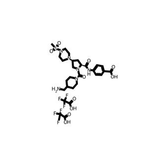 CS(=O)(=O)N1CCN([C@H]2C[C@@H](C(=O)Nc3ccc(C(=O)O)cc3)N(C(=O)N3CCC(CN)CC3)C2)CC1.O=C(O)C(F)(F)F.O=C(O)C(F)(F)F